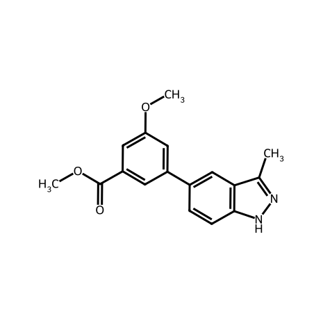 COC(=O)c1cc(OC)cc(-c2ccc3[nH]nc(C)c3c2)c1